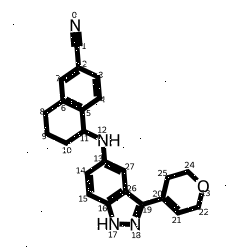 N#Cc1ccc2c(c1)CCCC2Nc1ccc2[nH]nc(C3=CCOCC3)c2c1